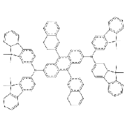 CC1(C)C2=C(C=CCC2)c2ccc(N(c3ccc4c(c3)C(C)(C)C3C=CC=CC43)c3ccc4c(-c5ccc6c(c5)CCC=C6)c5cc(N(C6=CC=C7c8ccccc8C(C)(C)C7C6)c6ccc7c(c6)C(C)(C)c6ccccc6-7)ccc5c(C5=Cc6ccccc6CC5)c4c3)cc21